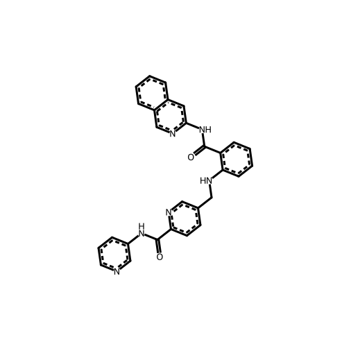 O=C(Nc1cccnc1)c1ccc(CNc2ccccc2C(=O)Nc2cc3ccccc3cn2)cn1